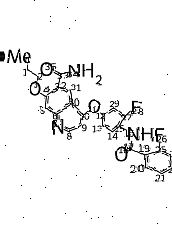 COCCOc1cc2nccc(Oc3ccc(NC(=O)c4ccc(F)cc4F)c(F)c3)c2cc1C(N)=O